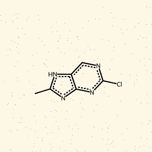 Cc1nc2nc(Cl)ncc2[nH]1